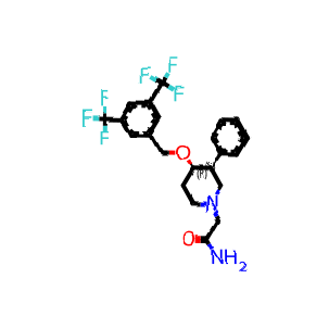 NC(=O)CN1CC[C@@H](OCc2cc(C(F)(F)F)cc(C(F)(F)F)c2)[C@@H](c2ccccc2)C1